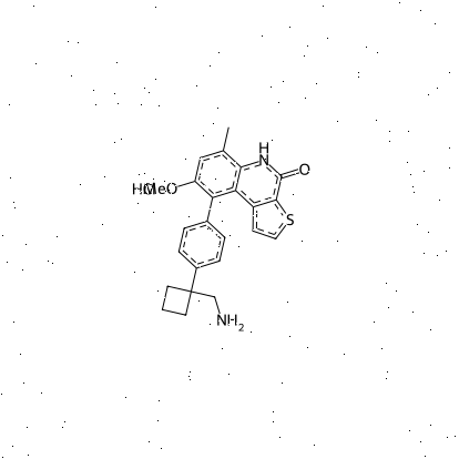 COc1cc(C)c2[nH]c(=O)c3sccc3c2c1-c1ccc(C2(CN)CCC2)cc1.Cl